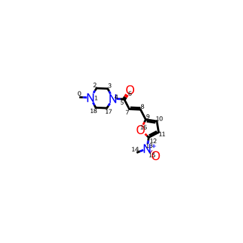 CN1CCN(C(=O)/C=C/c2ccc([N+](C)=O)o2)CC1